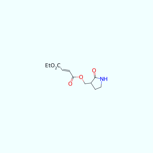 CCOC(=O)/C=C/C(=O)OCC1CCNC1=O